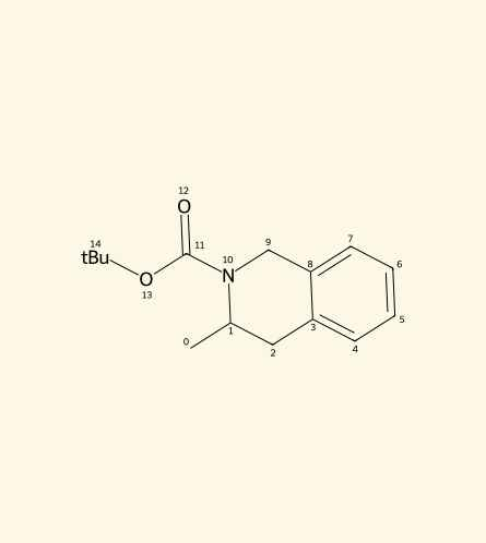 CC1Cc2ccccc2CN1C(=O)OC(C)(C)C